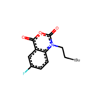 CC(C)(C)CCn1c(=O)oc(=O)c2cc(F)ccc21